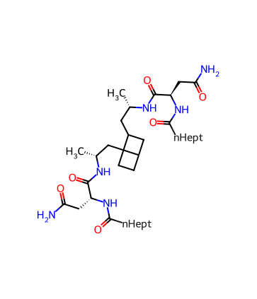 CCCCCCCC(=O)N[C@H](CC(N)=O)C(=O)N[C@H](C)CC12CCC1CC2C[C@H](C)NC(=O)[C@@H](CC(N)=O)NC(=O)CCCCCCC